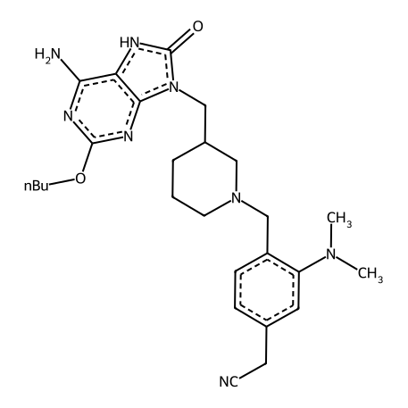 CCCCOc1nc(N)c2[nH]c(=O)n(CC3CCCN(Cc4ccc(CC#N)cc4N(C)C)C3)c2n1